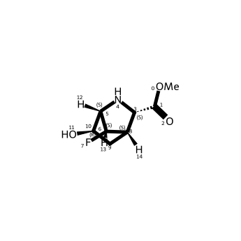 COC(=O)[C@H]1N[C@@H]2[C@@H](F)[C@H]1C[C@H]2O